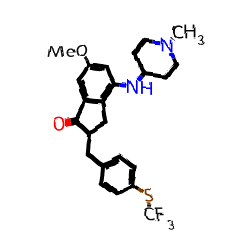 COc1cc(NC2CCN(C)CC2)c2c(c1)C(=O)C(Cc1ccc(SC(F)(F)F)cc1)C2